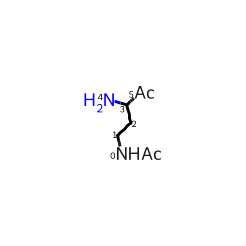 CC(=O)NCCC(N)C(C)=O